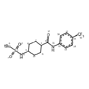 CC(C)(C)S(=O)(=O)NC1CCC(C(=O)Nc2ccc(C(F)(F)F)cc2)CC1